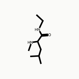 CCNC(=O)C(CC(C)C)NC